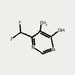 Cc1c(O)ncnc1C(F)F